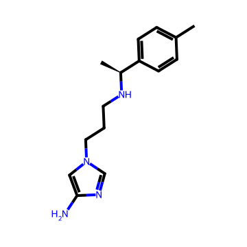 Cc1ccc([C@H](C)NCCCn2cnc(N)c2)cc1